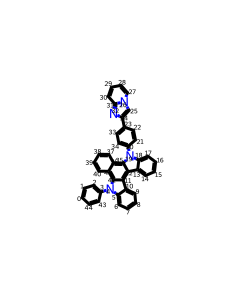 c1ccc(-n2c3ccccc3c3c4c5ccccc5n(-c5ccc(-c6cn7ccccc7n6)cc5)c4c4ccccc4c32)cc1